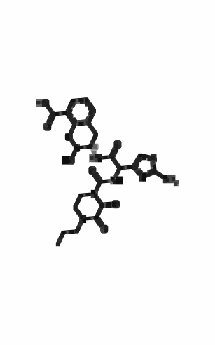 CCCN1CCN(C(=O)NC(C(=O)N[C@H]2Cc3cccc(C(=O)O)c3OB2O)c2csc(N)n2)C(=O)C1=O